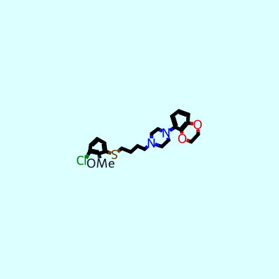 COc1c(Cl)cccc1SCCCCN1CCN(c2cccc3c2OCCO3)CC1